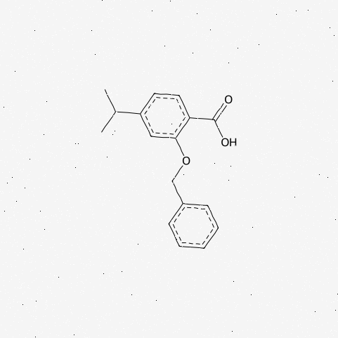 CC(C)c1ccc(C(=O)O)c(OCc2ccccc2)c1